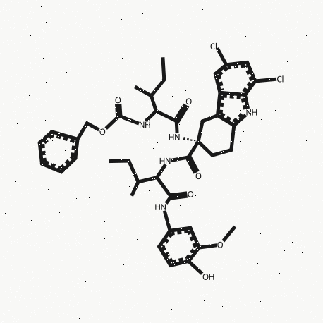 CCC(C)C(NC(=O)OCc1ccccc1)C(=O)N[C@@]1(C(=O)NC(C(=O)Nc2ccc(O)c(OC)c2)C(C)CC)CCc2[nH]c3c(Cl)cc(Cl)cc3c2C1